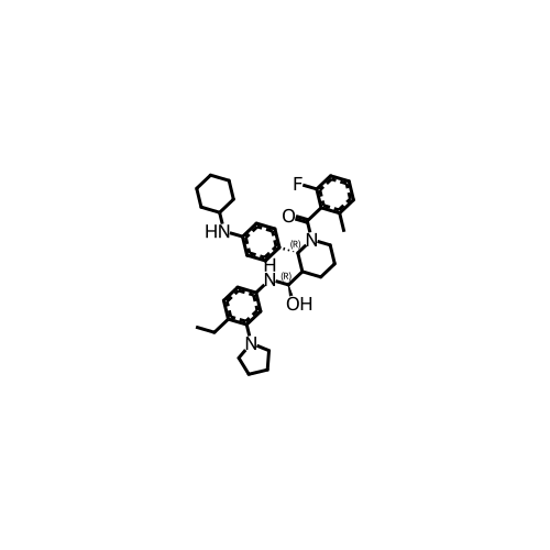 CCc1ccc(N[C@H](O)C2CCCN(C(=O)c3c(C)cccc3F)[C@H]2c2ccc(NC3CCCCC3)cc2)cc1N1CCCC1